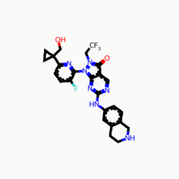 O=c1c2cnc(Nc3ccc4c(c3)CCNC4)nc2n(-c2nc(C3(CO)CC3)ccc2F)n1CC(F)(F)F